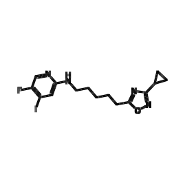 Fc1cnc(NCCCCCc2nc(C3CC3)no2)cc1I